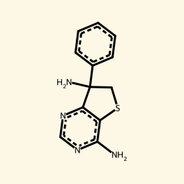 Nc1ncnc2c1SCC2(N)c1ccccc1